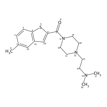 Cc1ccc2sc(C(=O)N3CCN(CCN(C)C)CC3)cc2c1